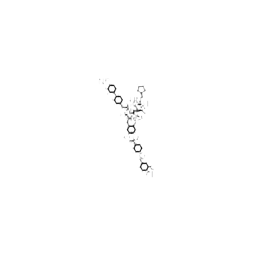 Cc1nc(NCC2CCCC2)sc1S(=O)(=O)N1Cc2cc3c(cc2C[C@H]1C(=O)N[C@@H](Cc1ccc(-c2ccc(C#N)cc2)cc1)C(=O)O)OC[C@H](c1ccc(OCc2ccc(Cl)c(Cl)c2)cc1)O3